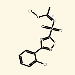 CCO/C(C)=N\S(=O)(=O)c1nc(-c2ccccc2Cl)ns1